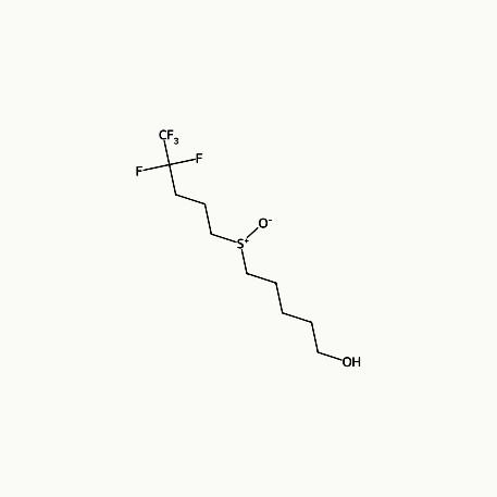 [O-][S+](CCCCCO)CCCC(F)(F)C(F)(F)F